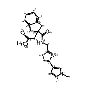 Cn1cc(-c2csc(CNC(=O)C3(CC(=O)O)Cc4ccccc4C3)n2)cn1